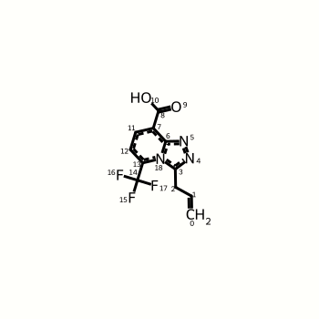 C=CCc1nnc2c(C(=O)O)ccc(C(F)(F)F)n12